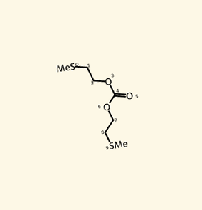 CSCCOC(=O)OCCSC